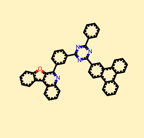 c1ccc(-c2nc(-c3cccc(-c4nc5ccccc5c5c4oc4ccccc45)c3)nc(-c3ccc4c5ccccc5c5ccccc5c4c3)n2)cc1